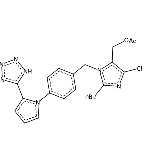 CCCCc1nc(Cl)c(COC(C)=O)n1Cc1ccc(-n2cccc2-c2nnn[nH]2)cc1